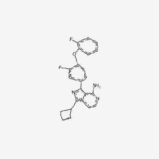 Nc1nccn2c(C3CCC3)nc(-c3ccc(Oc4ccccc4F)c(F)c3)c12